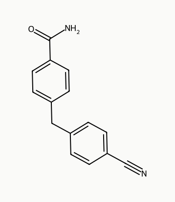 N#Cc1ccc(Cc2ccc(C(N)=O)cc2)cc1